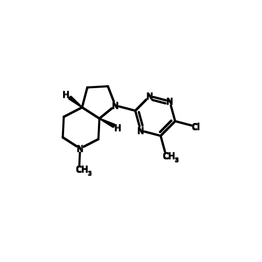 Cc1nc(N2CC[C@H]3CCN(C)C[C@H]32)nnc1Cl